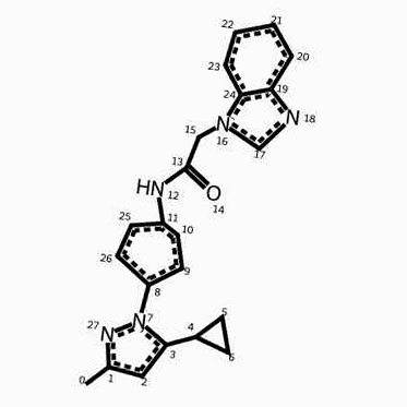 Cc1cc(C2CC2)n(-c2ccc(NC(=O)Cn3cnc4ccccc43)cc2)n1